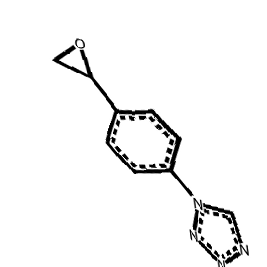 c1cc(-n2cnnn2)ccc1C1CO1